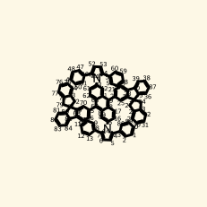 c1ccc(-c2ccc(-c3ccccc3)n2-c2ccc3c(-c4ccc5c(c4)C4(Cc6ccccc6C4)c4ccccc4-5)c4cc(-n5c(-c6ccccc6)ccc5-c5ccccc5)ccc4c(-c4ccc5c(c4)C4(Cc6ccccc6C4)c4ccccc4-5)c3c2)cc1